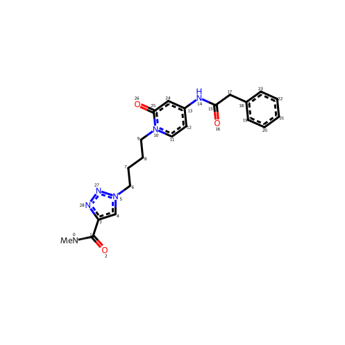 CNC(=O)c1cn(CCCCn2ccc(NC(=O)Cc3ccccc3)cc2=O)nn1